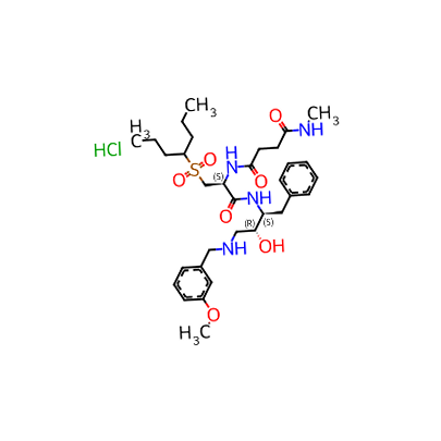 CCCC(CCC)S(=O)(=O)C[C@@H](NC(=O)CCC(=O)NC)C(=O)N[C@@H](Cc1ccccc1)[C@H](O)CNCc1cccc(OC)c1.Cl